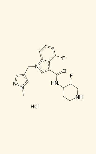 Cl.Cn1cc(Cn2cc(C(=O)NC3CCNCC3F)c3c(F)cccc32)cn1